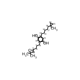 CC(C)(C)CCCCCc1cc(O)c(CCCCCC2(C)CC2)cc1O